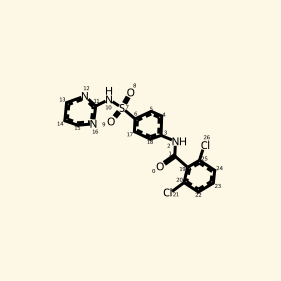 O=C(Nc1ccc(S(=O)(=O)Nc2ncccn2)cc1)c1c(Cl)cccc1Cl